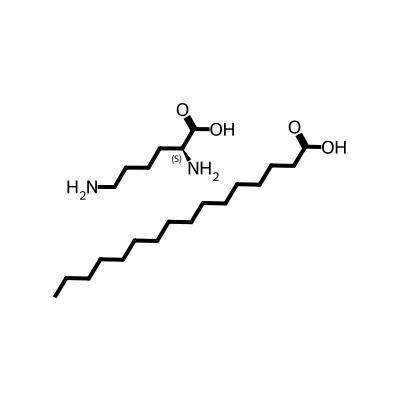 CCCCCCCCCCCCCCCC(=O)O.NCCCC[C@H](N)C(=O)O